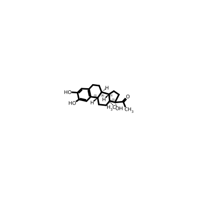 CC(=O)[C@]1(O)CC[C@H]2[C@@H]3CCc4cc(O)c(O)cc4[C@H]3CC[C@@]21C